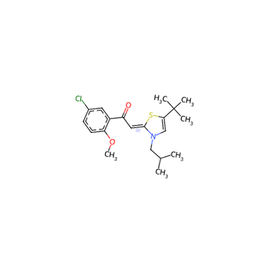 COc1ccc(Cl)cc1C(=O)/C=C1\SC(C(C)(C)C)=CN1CC(C)C